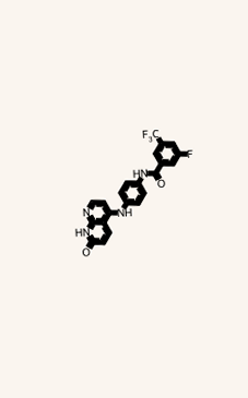 O=C(Nc1ccc(Nc2ccnc3[nH]c(=O)ccc23)cc1)c1cc(F)cc(C(F)(F)F)c1